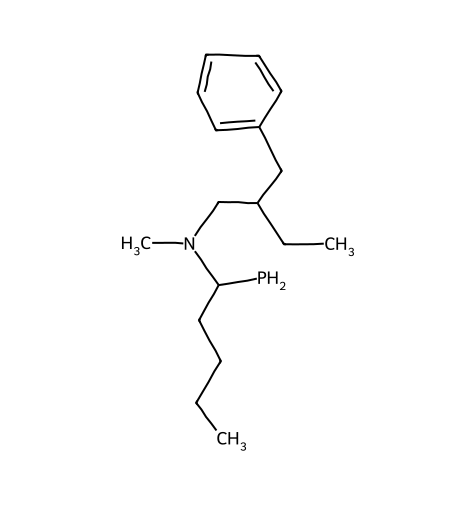 CCCCC(P)N(C)CC(CC)Cc1ccccc1